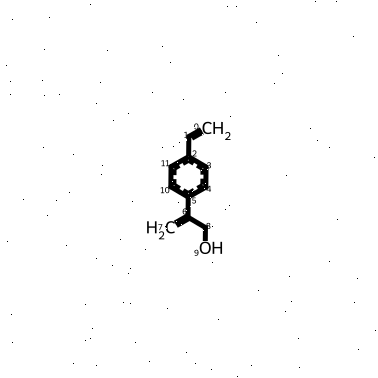 C=Cc1ccc(C(=C)CO)cc1